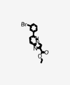 CCOC(=O)c1cn2nc(-c3cccc(Br)c3)ccc2n1